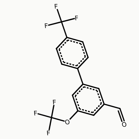 O=Cc1cc(OC(F)(F)F)cc(-c2ccc(C(F)(F)F)cc2)c1